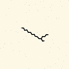 [CH2]CCCCCCCCCCC(CC)CCCC